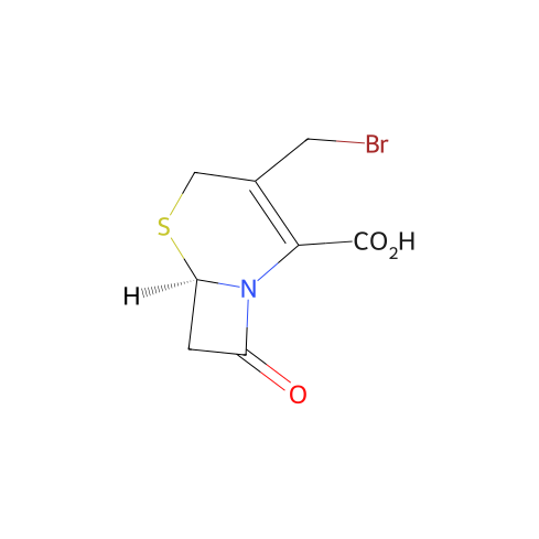 O=C(O)C1=C(CBr)CS[C@@H]2CC(=O)N12